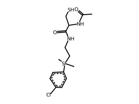 CC(=O)NC(CS)C(=O)NCC[Si](C)(C)c1ccc(Cl)cc1